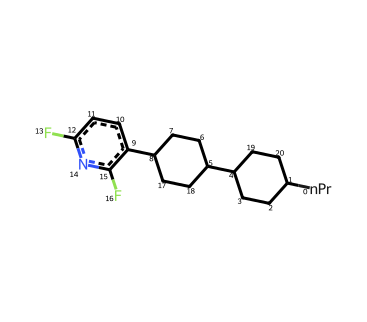 CCCC1CCC(C2CCC(c3ccc(F)nc3F)CC2)CC1